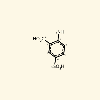 [NH]c1ccc(S(=O)(=O)O)cc1C(=O)O